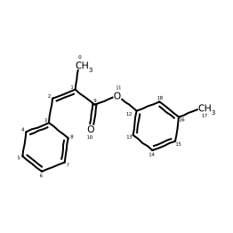 CC(=Cc1ccccc1)C(=O)Oc1cccc(C)c1